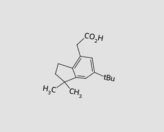 CC(C)(C)c1cc(CC(=O)O)c2c(c1)C(C)(C)CC2